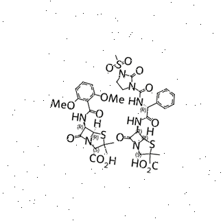 CC1(C)S[C@@H]2[C@H](NC(=O)[C@H](NC(=O)N3CCN(S(C)(=O)=O)C3=O)c3ccccc3)C(=O)N2[C@H]1C(=O)O.COc1cccc(OC)c1C(=O)N[C@@H]1C(=O)N2[C@@H]1SC(C)(C)[C@@H]2C(=O)O